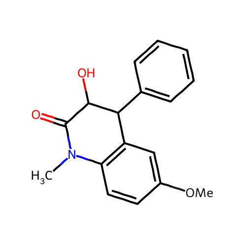 COc1ccc2c(c1)C(c1ccccc1)C(O)C(=O)N2C